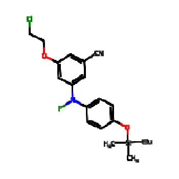 CC(C)(C)[Si](C)(C)Oc1ccc(N(F)c2cc(C#N)cc(OCCCl)c2)cc1